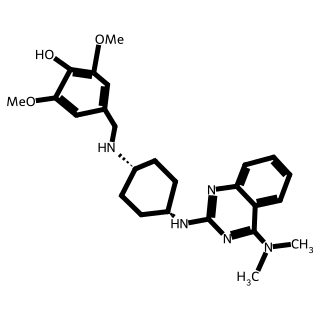 COc1cc(CN[C@H]2CC[C@@H](Nc3nc(N(C)C)c4ccccc4n3)CC2)cc(OC)c1O